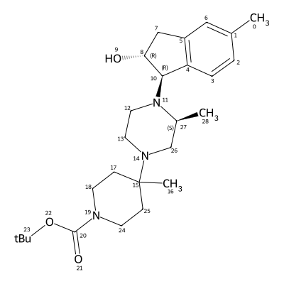 Cc1ccc2c(c1)C[C@@H](O)[C@@H]2N1CCN(C2(C)CCN(C(=O)OC(C)(C)C)CC2)C[C@@H]1C